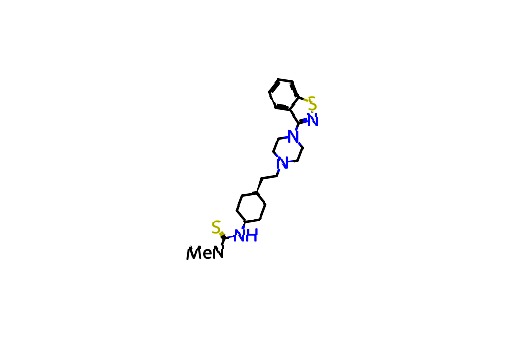 CNC(=S)N[C@H]1CC[C@@H](CCN2CCN(c3nsc4ccccc34)CC2)CC1